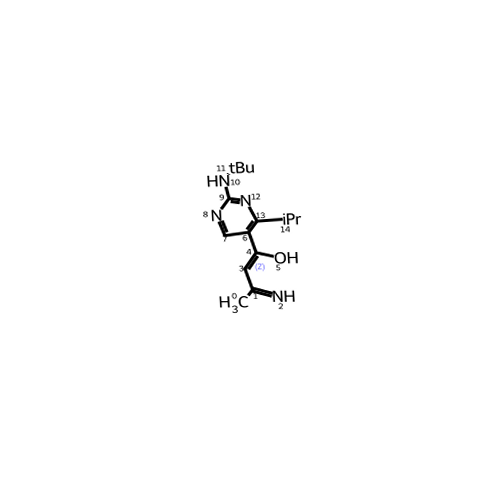 CC(=N)/C=C(\O)c1cnc(NC(C)(C)C)nc1C(C)C